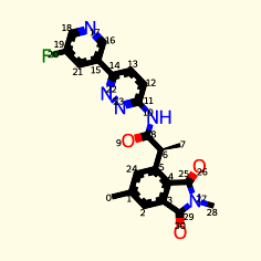 Cc1cc2c(c([C@H](C)C(=O)Nc3ccc(-c4cncc(F)c4)nn3)c1)C(=O)N(C)C2=O